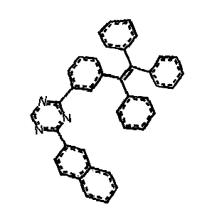 c1ccc(C(=C(c2ccccc2)c2cccc(-c3ncnc(-c4ccc5ccccc5c4)n3)c2)c2ccccc2)cc1